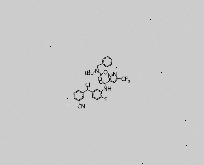 CC(C)(C)N(Cc1ccccc1)C(=O)On1nc(C(F)(F)F)cc1C(=O)Nc1cc(C(Cl)c2cccc(C#N)c2)ccc1F